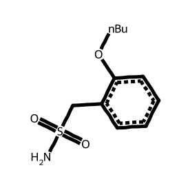 CCCCOc1ccccc1CS(N)(=O)=O